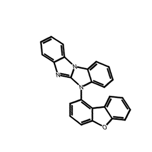 c1ccc2c(c1)nc1n(-c3cccc4oc5ccccc5c34)c3ccccc3n21